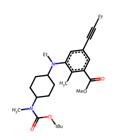 CCC#Cc1cc(C(=O)OC)c(C)c(N(CC)C2CCC(N(C)C(=O)OC(C)(C)C)CC2)c1